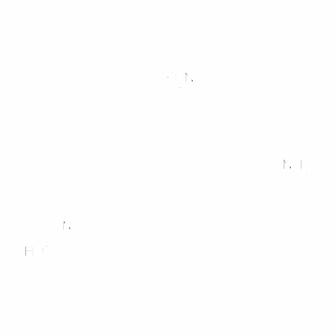 CN1CCC(Oc2ccc(N)cc2[N+](=O)[O-])CC1